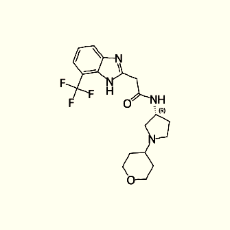 O=C(Cc1nc2cccc(C(F)(F)F)c2[nH]1)N[C@@H]1CCN(C2CCOCC2)C1